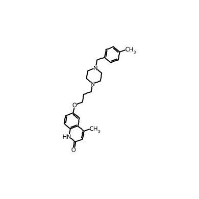 Cc1ccc(CN2CCN(CCCOc3ccc4[nH]c(=O)cc(C)c4c3)CC2)cc1